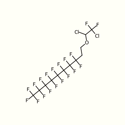 FC(F)(Cl)C(Cl)OCCC(F)(F)C(F)(F)C(F)(F)C(F)(F)C(F)(F)C(F)(F)C(F)(F)C(F)(F)F